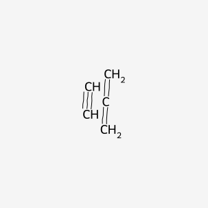 C#C.C=C=C